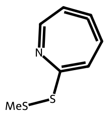 CSSC1=CC=C=CC=N1